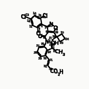 Cc1cn(C(=O)c2c(-c3c(Cl)cc(Cl)cc3Cl)noc2C2(CO)CCC2)c2cccc(/C=C/C(=O)O)c12